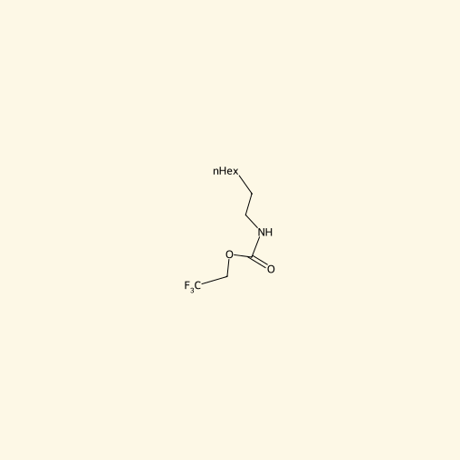 CCCCCCCCNC(=O)OCC(F)(F)F